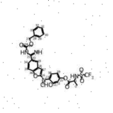 CC(NS(=O)(=O)C(F)(F)F)C(=O)Oc1ccc(N(C=O)c2cc3cc(C(=N)NC(=O)OCc4ccccc4)ccc3o2)cc1